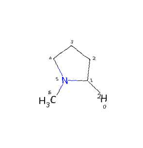 [2H]C1CCCN1C